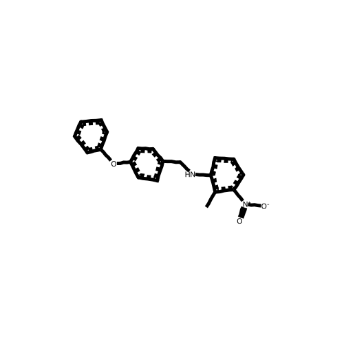 Cc1c(NCc2ccc(Oc3ccccc3)cc2)cccc1[N+](=O)[O-]